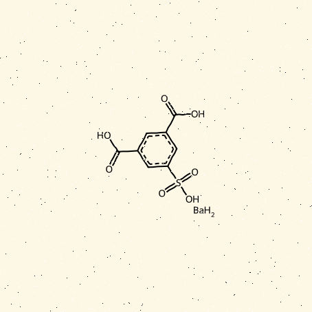 O=C(O)c1cc(C(=O)O)cc(S(=O)(=O)O)c1.[BaH2]